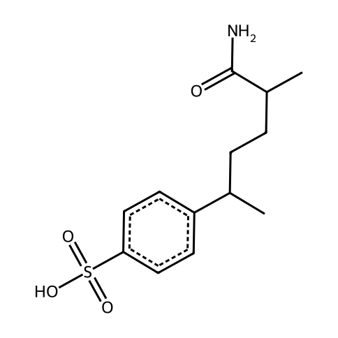 CC(CCC(C)c1ccc(S(=O)(=O)O)cc1)C(N)=O